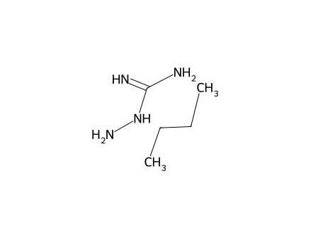 CCCC.N=C(N)NN